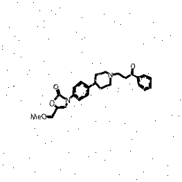 COCC1CN(c2ccc(C3CCN(CCC(=O)c4ccccc4)CC3)cc2)C(=O)O1